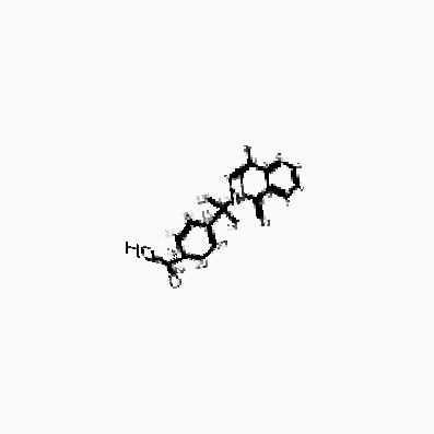 C=C(C)c1ccccc1C(=C)NC(C)(C)c1ccc(C(=O)O)cc1